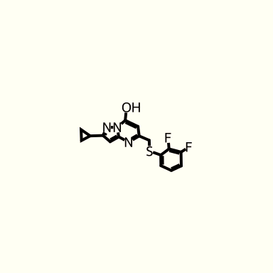 Oc1cc(CSc2cccc(F)c2F)nc2cc(C3CC3)nn12